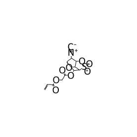 [C-]#[N+]C1C2OC3C1OS(=O)(=O)C3C2OC(=O)COC(=O)C=C